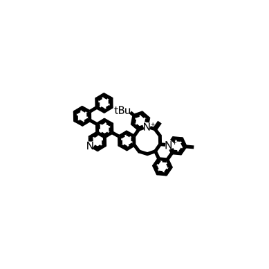 C=C1CC2C(CCc3ccc(-c4ccc(-c5ccccc5-c5ccccc5)c5cnccc45)cc3-c3cc(C(C)(C)C)cc[n+]31)c1ccccc1-c1cc(C)cc[n+]12